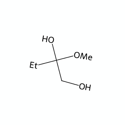 CCC(O)(CO)OC